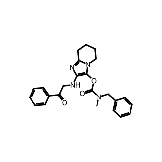 CN(Cc1ccccc1)C(=O)Oc1c(NCC(=O)c2ccccc2)nc2n1CCCC2